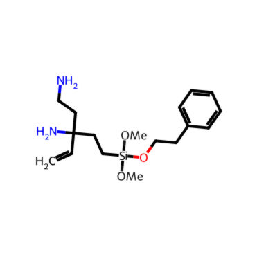 C=CC(N)(CCN)CC[Si](OC)(OC)OCCc1ccccc1